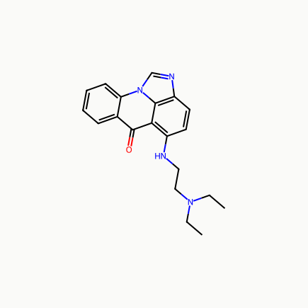 CCN(CC)CCNc1ccc2ncn3c4ccccc4c(=O)c1c23